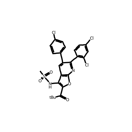 CC(C)(C)C(=O)c1oc2nc(-c3ccc(Cl)cc3Cl)c(-c3ccc(Cl)cc3)cc2c1NS(C)(=O)=O